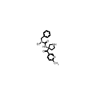 CCN(Cc1ccccc1)C(=O)N[C@]1(C(=O)c2ccc(C)nc2)CCNC1